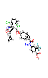 COC(=O)c1ccc(NC(=O)C2CC3CC(OCc4c(-c5c(Cl)cccc5Cl)noc4C4CC4)CC2C3)cc1C(F)(F)F